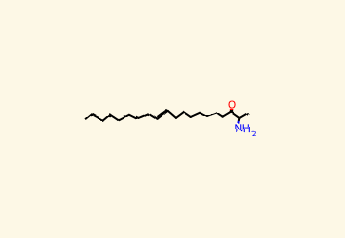 CCCCCCCCC=CCCCCCCCC(=O)C(C)N